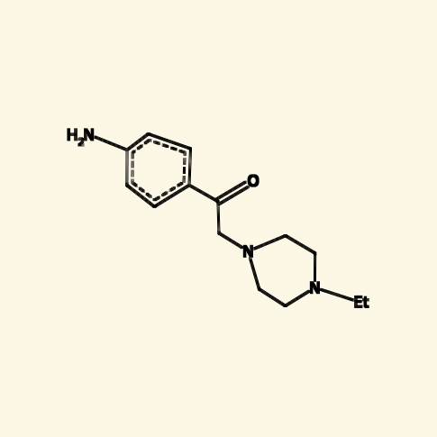 CCN1CCN(CC(=O)c2ccc(N)cc2)CC1